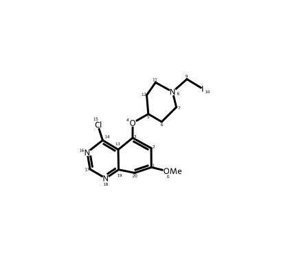 COc1cc(OC2CCN(CI)CC2)c2c(Cl)ncnc2c1